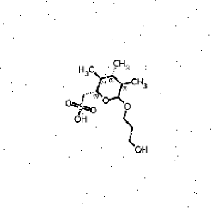 C[C@H]1[C@H](C)[C@@H](C)C(OCCCO)O[C@@H]1CS(=O)(=O)O